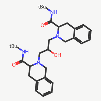 CC(C)(C)NC(=O)C1Cc2ccccc2CN1CC(O)CN1Cc2ccccc2CC1C(=O)NC(C)(C)C